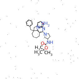 CC(C)(C)OC(=O)NC1CCN(c2nc(N)nc3c2CCCCC3(Cc2ccccc2)Cc2ccccc2)C1